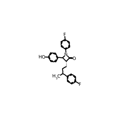 CC(CC[C@H]1C(=O)N(c2ccc(F)cc2)C1c1ccc(O)cc1)c1ccc(F)cc1